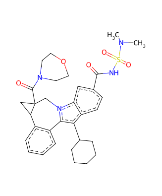 CN(C)S(=O)(=O)NC(=O)c1ccc2c(C3CCCCC3)c3n(c2c1)CC1(C(=O)N2CCOCC2)CC1c1ccccc1-3